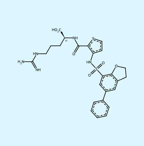 N=C(N)NCCC[C@H](NC(=O)c1sccc1NS(=O)(=O)c1cc(-c2ccccc2)cc2c1OCC2)C(=O)O